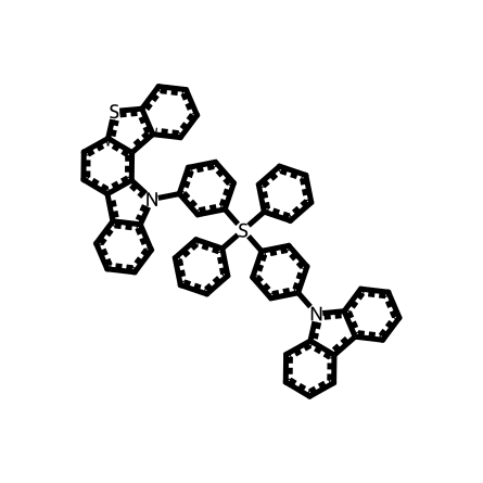 c1ccc(S(c2ccccc2)(c2ccc(-n3c4ccccc4c4ccccc43)cc2)c2cccc(-n3c4ccccc4c4ccc5sc6ccccc6c5c43)c2)cc1